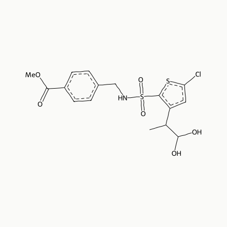 COC(=O)c1ccc(CNS(=O)(=O)c2sc(Cl)cc2C(C)C(O)O)cc1